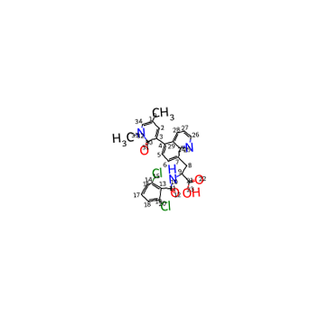 Cc1cc(-c2ccc(CC(NC(=O)c3c(Cl)cccc3Cl)C(=O)O)c3ncccc23)c(=O)n(C)c1